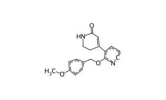 COc1ccc(COc2ncccc2C2=CC(=O)NCC2)cc1